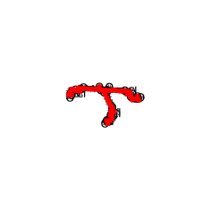 O=C(CCCCCCCCCOc1ccc(C(=O)Oc2ccc3ccc(=O)oc3c2)c(Cl)c1)OCC(COC(=O)CCCCCCCCCOc1ccc(C(=O)Oc2ccc3ccc(=O)oc3c2)c(Cl)c1)OC(=O)CCCCCCCCCOc1ccc(C(=O)Oc2ccc3ccc(=O)oc3c2)c(Cl)c1